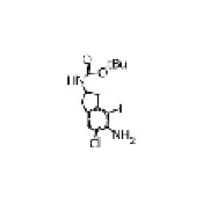 CC(C)(C)OC(=O)NC1Cc2cc(Cl)c(N)c(I)c2C1